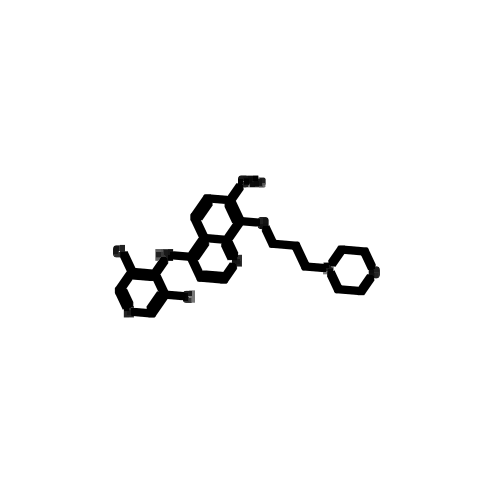 COc1ccc2c(Nc3c(Cl)cncc3Cl)ccnc2c1OCCCN1CCOCC1